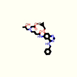 CC(O)CN(CC=CC(=O)Nc1cc2c(NCc3ccccc3)ncnc2cc1OCC1CC1)CC(=O)OC(C)(C)C